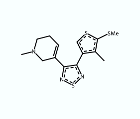 CSc1scc(-c2nsnc2C2=CCCN(C)C2)c1C